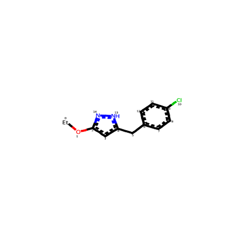 CCOc1cc(Cc2ccc(Cl)cc2)[nH]n1